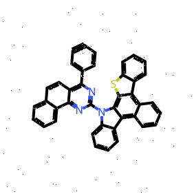 c1ccc(-c2nc(-n3c4ccccc4c4c5ccccc5c5c6ccccc6sc5c43)nc3c2ccc2ccccc23)cc#1